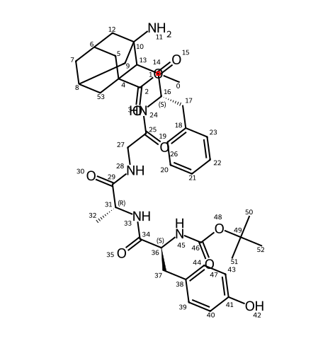 COC(=O)C12CC3CC(CC(N)(C3)C1C(=O)[C@H](Cc1ccccc1)NC(=O)CNC(=O)[C@@H](C)NC(=O)[C@H](Cc1ccc(O)cc1)NC(=O)OC(C)(C)C)C2